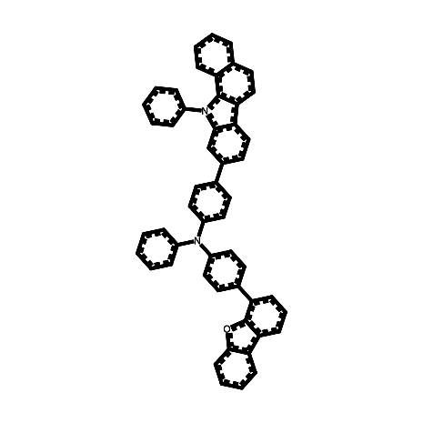 c1ccc(N(c2ccc(-c3ccc4c5ccc6ccccc6c5n(-c5ccccc5)c4c3)cc2)c2ccc(-c3cccc4c3oc3ccccc34)cc2)cc1